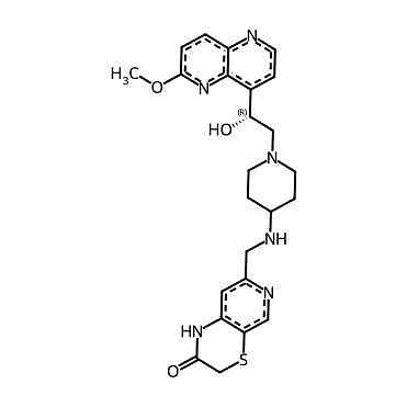 COc1ccc2nccc([C@@H](O)CN3CCC(NCc4cc5c(cn4)SCC(=O)N5)CC3)c2n1